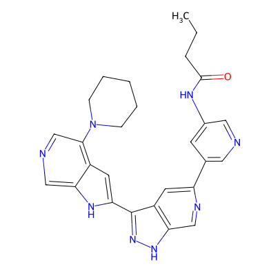 CCCC(=O)Nc1cncc(-c2cc3c(-c4cc5c(N6CCCCC6)cncc5[nH]4)n[nH]c3cn2)c1